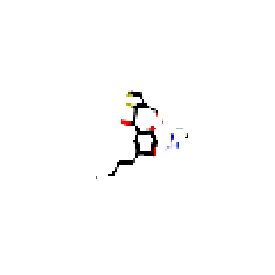 CCCCc1ccc2c(c1)C(=O)c1sccc1CO2.CNO